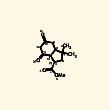 COC(=O)[C@@H]1CC(C)(C)C2CC(=O)CC(=O)N21